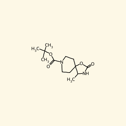 CC1NC(=O)OC12CCN(C(=O)OC(C)(C)C)CC2